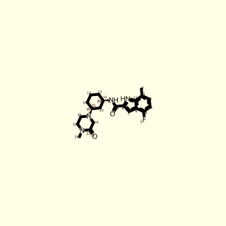 Cc1ccc(F)c2cc(C(=O)N[C@@H]3CCC[C@H](N4CCN(C)C(=O)C4)C3)[nH]c12